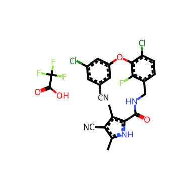 Cc1[nH]c(C(=O)NCc2ccc(Cl)c(Oc3cc(Cl)cc(C#N)c3)c2F)c(C)c1C#N.O=C(O)C(F)(F)F